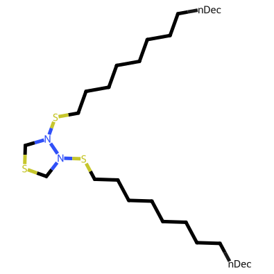 CCCCCCCCCCCCCCCCCCSN1CSCN1SCCCCCCCCCCCCCCCCCC